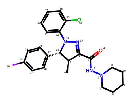 C[C@@H]1C(C(=O)NN2CCCCC2)=NN(c2ccccc2Cl)[C@H]1c1ccc(I)cc1